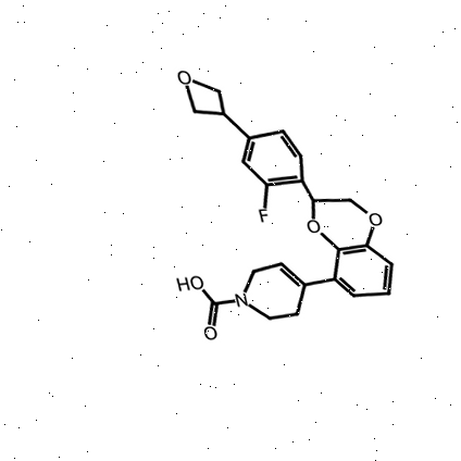 O=C(O)N1CC=C(c2cccc3c2OC(c2ccc(C4COC4)cc2F)CO3)CC1